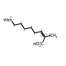 CCCCCCCCCCC/C=C(/C)C(=O)O